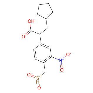 O=C(O)C(CC1CCCC1)c1ccc(C[SH](=O)=O)c([N+](=O)[O-])c1